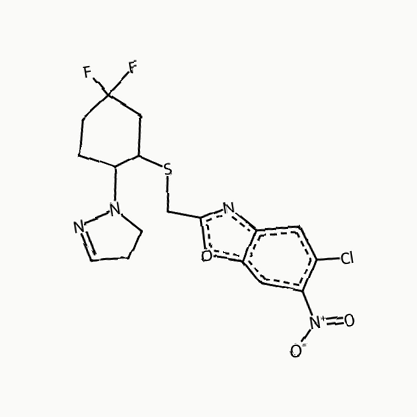 O=[N+]([O-])c1cc2oc(CSC3CC(F)(F)CCC3N3CCC=N3)nc2cc1Cl